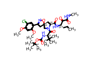 CCC[C@H](NC(=O)[C@@H]1C[C@]2(CC(c3cc(Cl)c(OC)cc3OC)=NO2)CN1C(=O)[C@@H](NC(=O)OC(C)(C)C)C(C)(C)C)C(=O)C(=O)NC